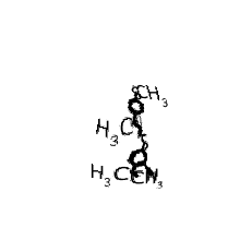 CSc1ccc([C@@H](C)CCSc2ccc(C(C)C)c(C#N)c2)cc1